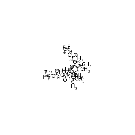 CC(C)(C)CC(C)(C(=O)OCC(=O)OCC(F)(F)F)C(C)(C)C(C)(C)CC(C(=O)OCC(=O)OCC(F)(F)F)C(C)(C)C